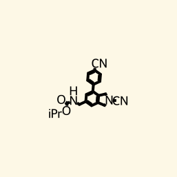 CC(C)OC(=O)NCc1cc2c(c(-c3ccc(C#N)cc3)c1)CN(C#N)C2